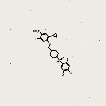 O=C(O)c1cc(C2CC2)c(OCC2CCN(S(=O)(=O)c3cc(Cl)c(Br)cc3F)CC2)cc1F